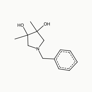 CC1(O)CN(Cc2ccccc2)CC1(C)O